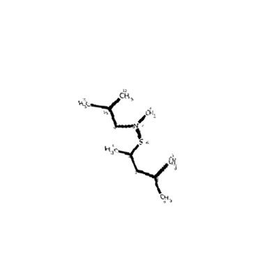 CC(C)CC(C)SN(C)CC(C)C